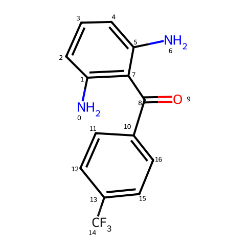 Nc1cccc(N)c1C(=O)c1ccc(C(F)(F)F)cc1